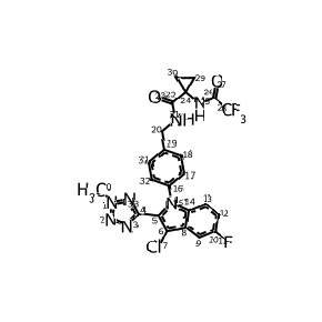 Cn1nnc(-c2c(Cl)c3cc(F)ccc3n2-c2ccc(CNC(=O)C3(NC(=O)C(F)(F)F)CC3)cc2)n1